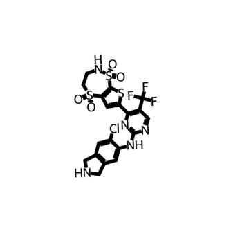 O=S1(=O)CCNS(=O)(=O)c2sc(-c3nc(Nc4cc5c(cc4Cl)CNC5)ncc3C(F)(F)F)cc21